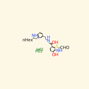 CCCCCCC(N)Cc1cccc(CCNC[C@H](O)c2ccc(O)c3c2SC(C=O)N3)c1.Cl.Cl